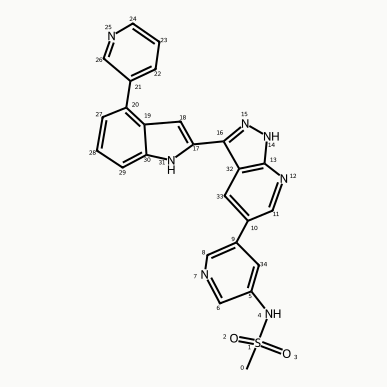 CS(=O)(=O)Nc1cncc(-c2cnc3[nH]nc(-c4cc5c(-c6cccnc6)cccc5[nH]4)c3c2)c1